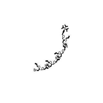 C=CCO[C@H](COCC#C[Si](C(C)C)(C(C)C)C(C)C)Cn1cc(COC[C@@H](Cn2cc(COC[C@@H](Cn3cc(COC[C@H](CBr)OCC=C)nn3)OCC=C)nn2)OCC=C)nn1